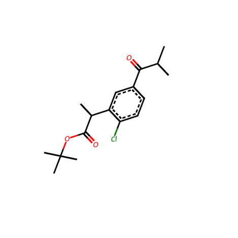 CC(C)C(=O)c1ccc(Cl)c(C(C)C(=O)OC(C)(C)C)c1